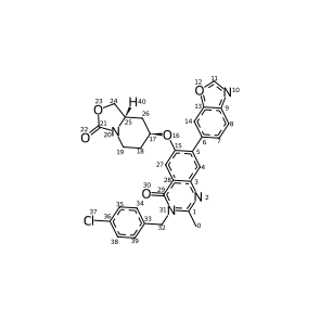 Cc1nc2cc(-c3ccc4ncoc4c3)c(O[C@H]3CCN4C(=O)OC[C@@H]4C3)cc2c(=O)n1Cc1ccc(Cl)cc1